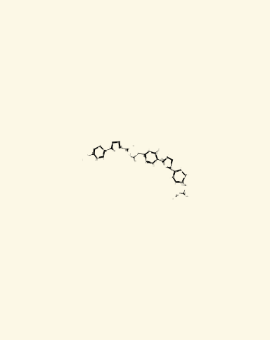 Cc1ccc(-c2ccc(C(=O)NC(Cc3ccc(-c4ccc(-c5ccc(NC(=O)OC(C)(C)C)cc5)s4)c(F)c3)C(=O)O)o2)cc1